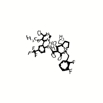 COc1c(Cl)ncnc1-c1cc(C(F)(F)F)ccc1NC(=O)C1=C(O)[C@@]2(C)CCCN2N(Cc2cccc(F)c2F)C1=O